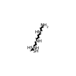 CC(S)(S)NCCCNCCCCNCCCN